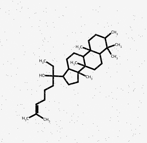 CCC(O)(CCCC=C(C)C)C1CCC2(C)C1CCC1C3(C)CCC(C)C(C)(C)C3CCC12C